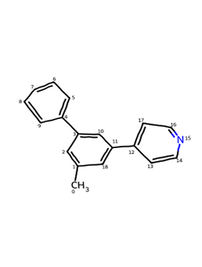 Cc1cc(-c2ccccc2)cc(-c2ccncc2)c1